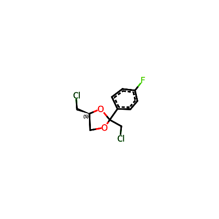 Fc1ccc(C2(CCl)OC[C@@H](CCl)O2)cc1